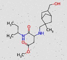 CCC(C)NC(=O)C(CC(=O)OC)NCC1(C)CC2CC1CC2CO